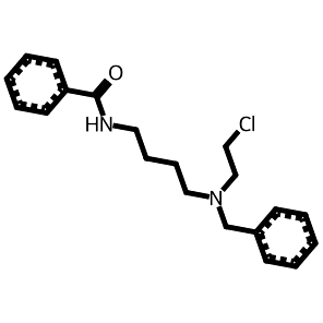 O=C(NCCCCN(CCCl)Cc1ccccc1)c1ccccc1